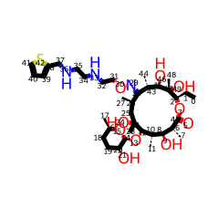 CC[C@H]1OC(=O)[C@H](C)[C@@H](O)[C@H](C)[C@@H](O[C@@H]2O[C@H](C)CC[C@H]2O)C(C)(O)C[C@@H](C)/C(=N\OCCNCCNCc2cccs2)[C@H](C)[C@@H](O)[C@]1(C)O